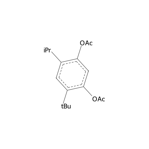 CC(=O)Oc1cc(OC(C)=O)c(C(C)(C)C)cc1C(C)C